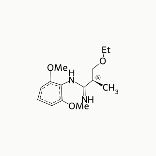 CCOC[C@@H](C)C(=N)Nc1c(OC)cccc1OC